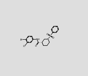 O=C(Nc1ccc(Br)c(Cl)c1)[C@H]1CCCN(S(=O)(=O)c2ccccc2)C1